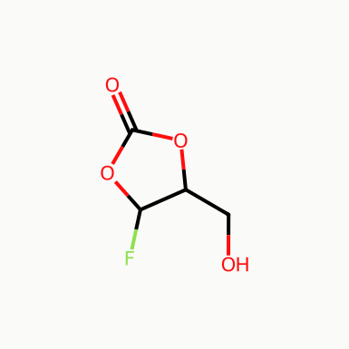 O=C1OC(F)C(CO)O1